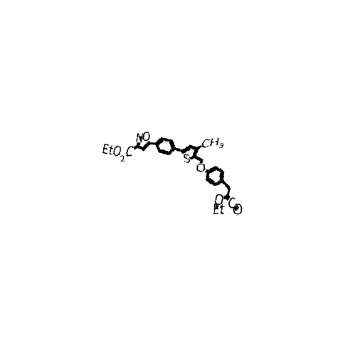 CCOC(=O)c1cc(-c2ccc(-c3cc(C)c(COc4ccc(CC(=C=O)OCC)cc4)s3)cc2)on1